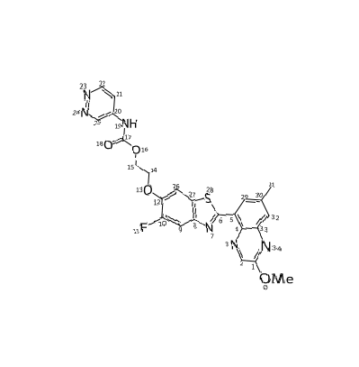 COc1cnc2c(-c3nc4cc(F)c(OCCOC(=O)Nc5ccnnc5)cc4s3)cc(C)cc2n1